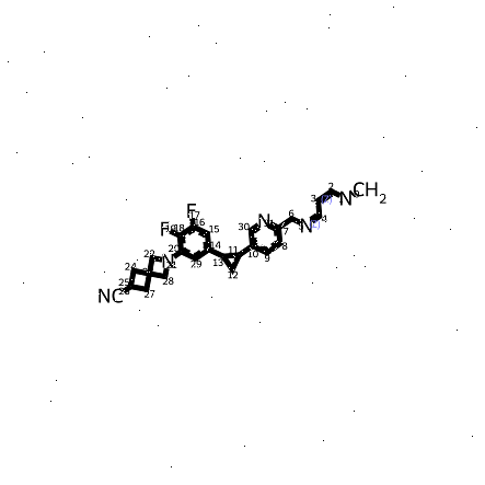 C=N/C=C\C=N/Cc1ccc(C2CC2c2cc(F)c(F)c(N3CC4(CC(C#N)C4)C3)c2)cn1